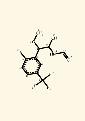 COC(c1cc(C(F)(F)F)ccc1I)C(C)NC=O